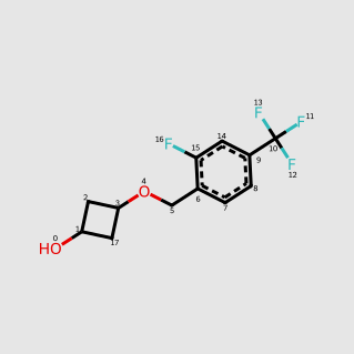 OC1CC(OCc2ccc(C(F)(F)F)cc2F)C1